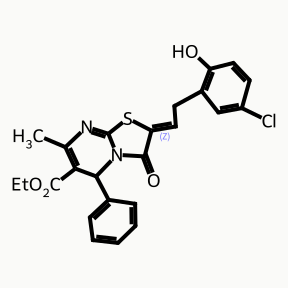 CCOC(=O)C1=C(C)N=c2s/c(=C\Cc3cc(Cl)ccc3O)c(=O)n2C1c1ccccc1